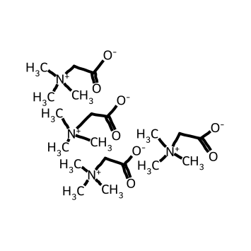 C[N+](C)(C)CC(=O)[O-].C[N+](C)(C)CC(=O)[O-].C[N+](C)(C)CC(=O)[O-].C[N+](C)(C)CC(=O)[O-]